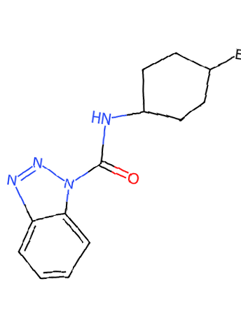 CCC1CCC(NC(=O)n2nnc3ccccc32)CC1